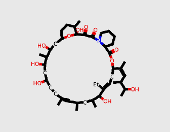 CC/C1=C\CC(/C(C)=C\C(C)C(C)O)OC(=O)C2CCCCN2C(=O)C(=O)C2(O)OC(CCC2C)CC(O)C(C)C(O)CC(O)CC/C(C)=C\C(C)CC(C)C1O